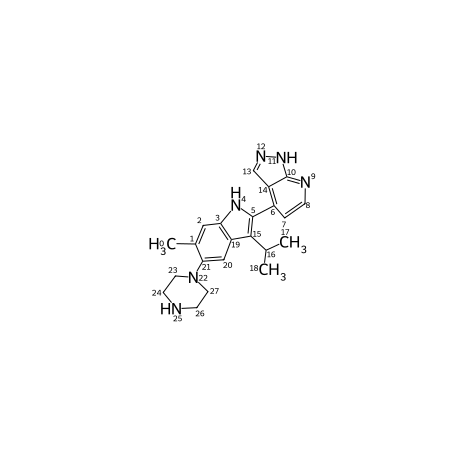 Cc1cc2[nH]c(-c3ccnc4[nH]ncc34)c(C(C)C)c2cc1N1CCNCC1